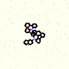 C[C@]12C=CC=CC1=CC(N(C1=C3C(=CCC1)c1cccc4cc5ccccc5c3c14)c1ccc3c(c1)c1ccccc1n3-c1ccccc1-c1ccccc1)=CC2